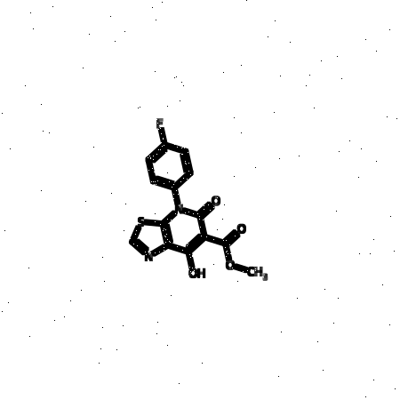 COC(=O)c1c(O)c2ncsc2n(-c2ccc(F)cc2)c1=O